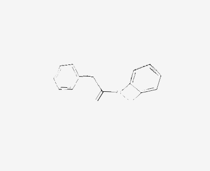 O=C(Cc1ccccc1)n1sc2ccccc21